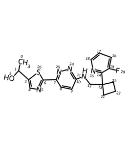 CC(O)c1cnc(-c2ccc(NCC3(c4ncccc4F)CCC3)nn2)s1